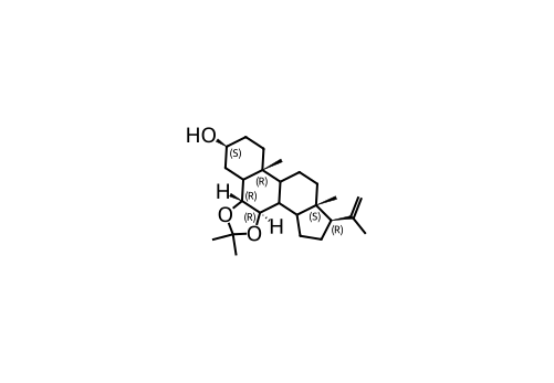 C=C(C)[C@H]1CCC2C3C(CC[C@@]21C)[C@@]1(C)CC[C@H](O)CC1[C@H]1OC(C)(C)O[C@H]31